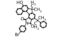 CC(C)(c1ccccc1)c1cc2c(c3c1C(=O)N(c1ccc(Br)cc1)C3=O)-c1c(cc(O)c3ccccc13)C2(C)C